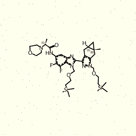 C[C@@H](C(=O)Nc1cc2nc(-c3nn(COCC[Si](C)(C)C)c4c3C[C@@H]3C[C@]3(C)C4)n(COCC[Si](C)(C)C)c2c(F)c1F)N1CCOCC1